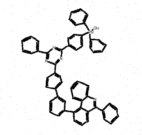 O[PH](c1ccccc1)(c1ccccc1)c1ccc(-c2nc(-c3ccccc3)nc(-c3ccc(-c4cccc(-c5cccc6c(-c7ccccc7)nc7ccccc7c56)c4)cc3)n2)cc1